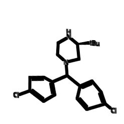 CC(C)(C)[C@H]1CN(C(c2ccc(Cl)cc2)c2ccc(Cl)cc2)CCN1